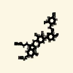 COCCn1c(Cc2c(F)cc(-c3ccc(F)c(OCc4ccc(Cl)cc4F)n3)c(F)c2F)nc2c(F)cc(C(=O)O)cc21